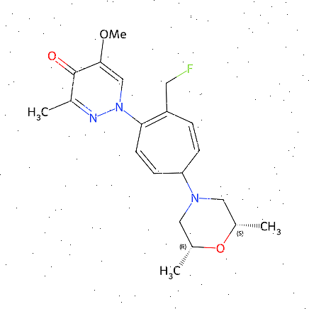 COc1cn(C2=C(CF)C=CC(N3C[C@@H](C)O[C@@H](C)C3)C=C2)nc(C)c1=O